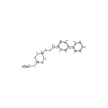 CCCCCCCCCCCN1CCN(CCOc2ccc(-c3cc[c]cc3)cc2)CC1